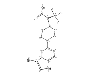 CC(C)(C)N(C(=O)O)C1CCN(c2cc3c(Br)c[nH]c3cn2)CC1